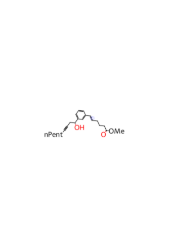 CCCCCC#CCC(O)c1cccc(/C=C/CCCC(=O)OC)c1